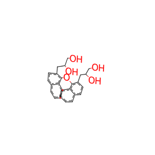 OCC(O)Cc1ccc2ccccc2c1Oc1c(CC(O)CO)ccc2ccccc12